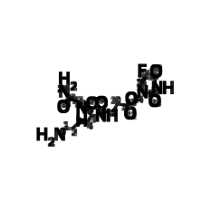 NCCCCC(NC(=O)CCC(=O)OCn1cc(F)c(=O)[nH]c1=O)C(=O)NCC(N)=O